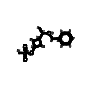 CC(OCc1ccccc1)C1CC(OS(C)(=O)=O)C1